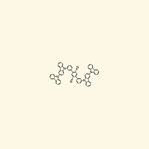 N#Cc1cc(-c2cccc(-n3c4ccccc4c4cc(-n5c6ccccc6c6ccccc65)ccc43)c2)c(C#N)cc1-c1cccc(-n2c3ccccc3c3cc(-n4c5ccccc5c5ccccc54)ccc32)c1